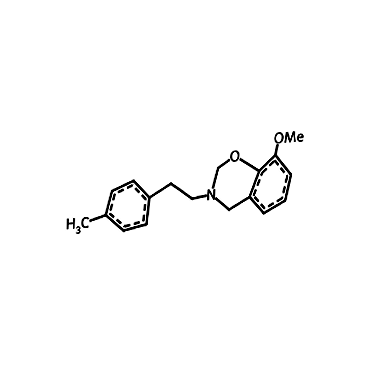 COc1cccc2c1OCN(CCc1ccc(C)cc1)C2